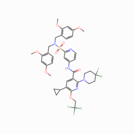 COc1ccc(CN(Cc2ccc(OC)cc2OC)S(=O)(=O)c2cc(NC(=O)c3cc(C4CC4)c(OCC(F)(F)F)nc3N3CCC(F)(F)CC3)ccn2)c(OC)c1